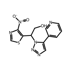 O=[N+]([O-])c1ncsc1C(CO)n1nncc1-c1cccnc1